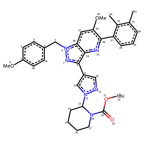 COc1ccc(Cn2nc(-c3cnn(C4CCCCN4C(=O)OC(C)(C)C)c3)c3nc(-c4cccc(C)c4C)c(OC)cc32)cc1